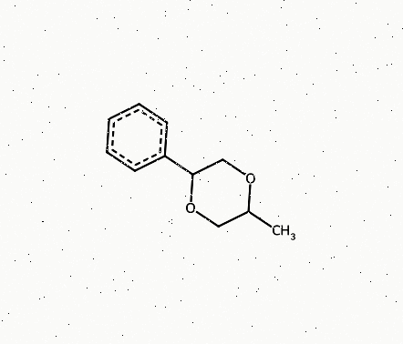 CC1COC(c2ccccc2)CO1